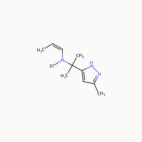 C/C=C\N(CC)C(C)(C)c1cc(C)n[nH]1